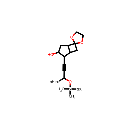 CCCCCCC(C#CC1C(O)CC2C1CC21OCCO1)O[Si](C)(C)C(C)(C)C